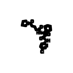 O=C(CCCC(=O)N1CCCC1)Nc1c(C(=O)Nc2ccc(Cl)cn2)oc2ccccc12